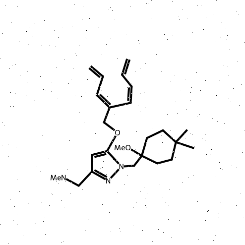 C=C/C=C\C(=C/C=C)COc1cc(CNC)nn1CC1(OC)CCC(C)(C)CC1